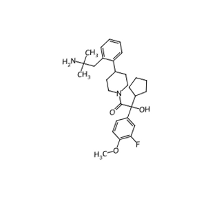 COc1ccc(C(O)(C(=O)N2CCC(c3ccccc3CC(C)(C)N)CC2)C2CCCC2)cc1F